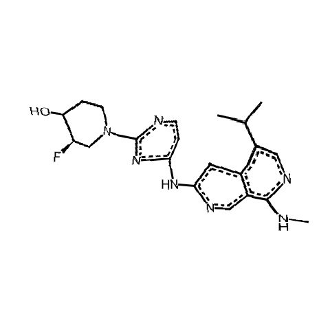 CNc1ncc(C(C)C)c2cc(Nc3ccnc(N4CCC(O)[C@H](F)C4)n3)ncc12